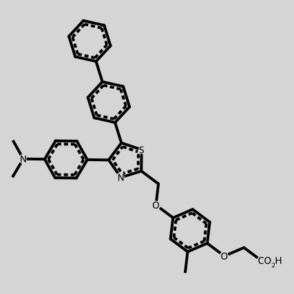 Cc1cc(OCc2nc(-c3ccc(N(C)C)cc3)c(-c3ccc(-c4ccccc4)cc3)s2)ccc1OCC(=O)O